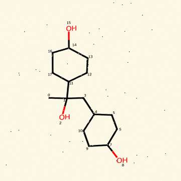 CC(O)(CC1CCC(O)CC1)C1CCC(O)CC1